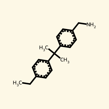 CCc1ccc(C(C)(C)c2ccc(CN)cc2)cc1